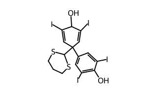 Oc1c(I)cc(C2(C3SCCCS3)C=C(I)C(O)C(I)=C2)cc1I